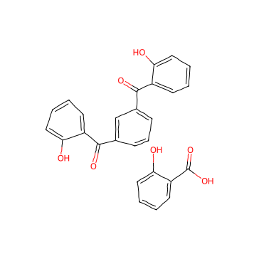 O=C(O)c1ccccc1O.O=C(c1cccc(C(=O)c2ccccc2O)c1)c1ccccc1O